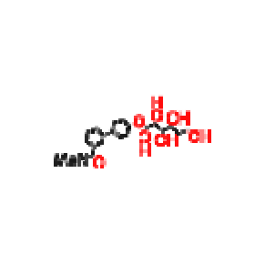 CNC(=O)c1cccc(-c2ccc(OC(O)C(O)C(O)C(O)CCO)cc2)c1